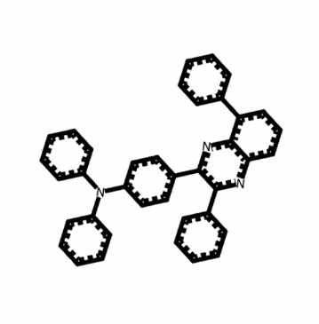 c1ccc(-c2nc3cccc(-c4ccccc4)c3nc2-c2ccc(N(c3ccccc3)c3ccccc3)cc2)cc1